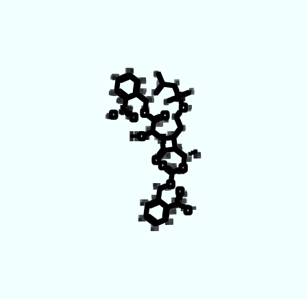 CC(C)C[Si](C)(C)OCCC1C([C@H](C)OC(=O)OCc2ccccc2[N+](=O)[O-])C(=O)N1C(O)C(=O)OCc1ccccc1[N+](=O)[O-]